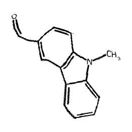 Cn1c2[c]cc(C=O)cc2c2ccccc21